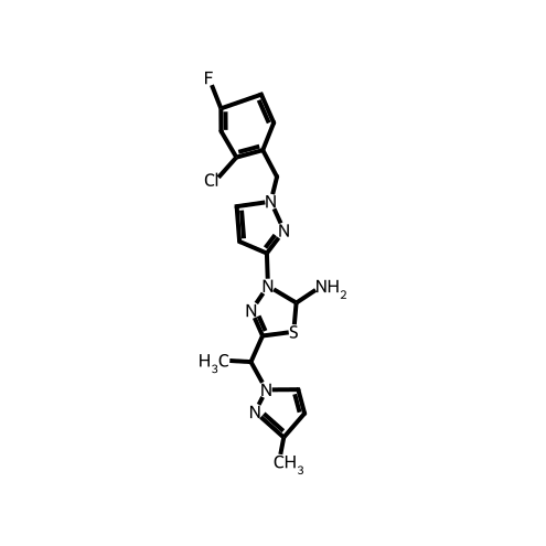 Cc1ccn(C(C)C2=NN(c3ccn(Cc4ccc(F)cc4Cl)n3)C(N)S2)n1